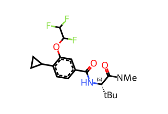 CNC(=O)[C@@H](NC(=O)c1ccc(C2CC2)c(OC(F)C(F)F)c1)C(C)(C)C